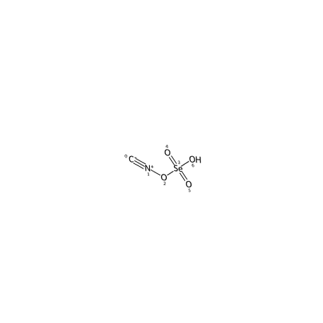 [C-]#[N+]O[Se](=O)(=O)O